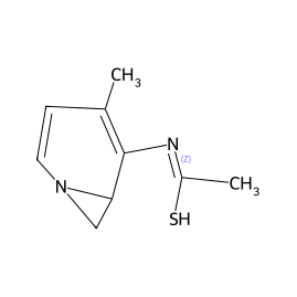 CC1=C(/N=C(/C)S)C2CN2C=C1